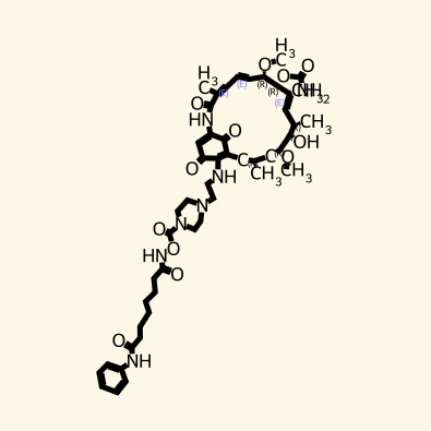 CO[C@@H]1/C=C/C=C(\C)C(=O)NC2=CC(=O)C(NCCN3CCN(C(=O)ONC(=O)CCCCCCC(=O)Nc4ccccc4)CC3)=C(C[C@@H](C)C[C@@H](OC)[C@H](O)[C@H](C)/C=C(\C)[C@H]1OC(N)=O)C2=O